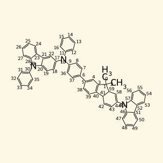 CC1(C)c2cc(-c3ccc(N(c4ccccc4)c4ccc5c(c4)c4ccccc4n5-c4ccccc4)cc3)ccc2C2C=CC(n3c4ccccc4c4ccccc43)=CC21